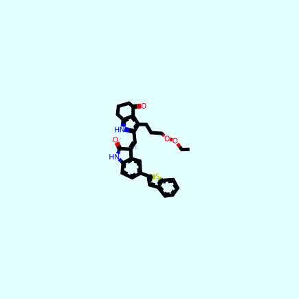 CCOOCCCc1c(/C=C2\C(=O)Nc3ccc(-c4cc5ccccc5s4)cc32)[nH]c2c1C(=O)CCC2